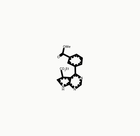 CCOC(=O)c1c[nH]c2ncnc(-c3cccc(C(=O)OC)c3)c12